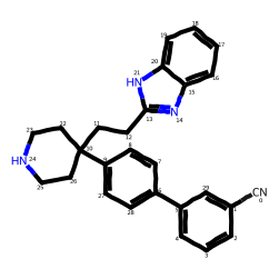 N#Cc1cccc(-c2ccc(C3(CCc4nc5ccccc5[nH]4)CCNCC3)cc2)c1